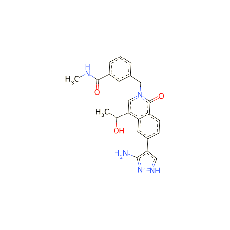 CNC(=O)c1cccc(Cn2cc(C(C)O)c3cc(-c4c[nH]nc4N)ccc3c2=O)c1